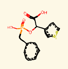 O=C(O)C(OP(=O)(O)Cc1ccccc1)c1ccsc1